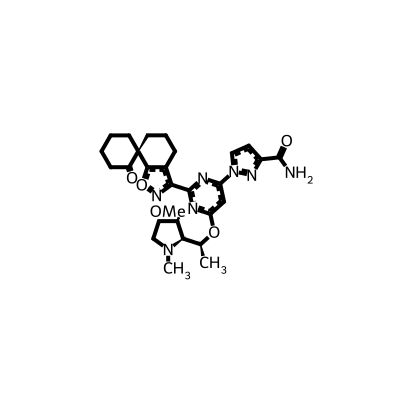 CO[C@H]1CCN(C)[C@@H]1[C@H](C)Oc1cc(-n2ccc(C(N)=O)n2)nc(-c2noc3c2CCC[C@@]32CCCCC2=O)n1